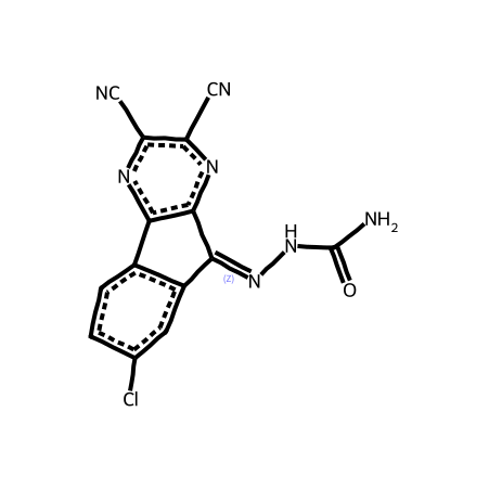 N#Cc1nc2c(nc1C#N)-c1ccc(Cl)cc1/C2=N/NC(N)=O